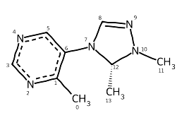 Cc1ncncc1N1C=NN(C)[C@@H]1C